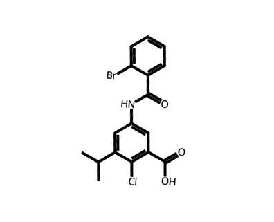 CC(C)c1cc(NC(=O)c2ccccc2Br)cc(C(=O)O)c1Cl